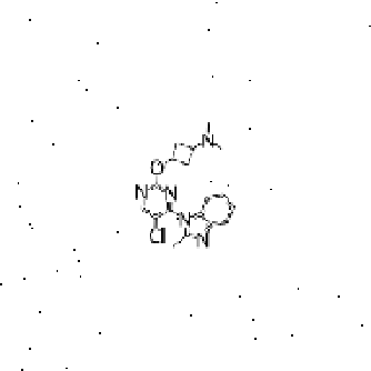 Cc1nc2ccccc2n1-c1nc(OC2CC(N(C)C)C2)ncc1Cl